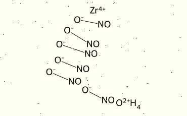 O=N[O-].O=N[O-].O=N[O-].O=N[O-].O=N[O-].O=N[O-].[OH4+2].[Zr+4]